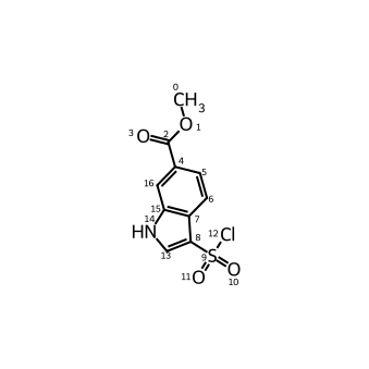 COC(=O)c1ccc2c(S(=O)(=O)Cl)c[nH]c2c1